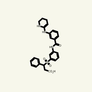 O=C(O)CC(c1ccccc1)S(=O)(=O)c1cccc(NC(=O)c2cccc(NC3=CCCCN3)c2)c1